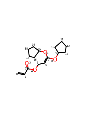 C=CC(=O)OCC=C(OC1CCCC1)OC1CCCC1